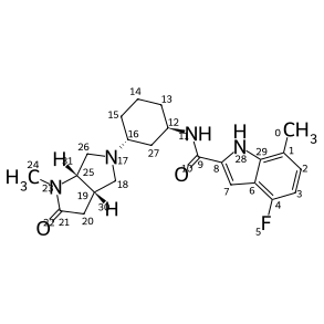 Cc1ccc(F)c2cc(C(=O)N[C@@H]3CCC[C@@H](N4C[C@@H]5CC(=O)N(C)[C@@H]5C4)C3)[nH]c12